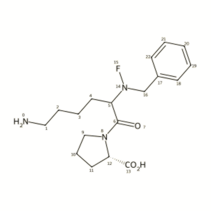 NCCCCC(C(=O)N1CCC[C@H]1C(=O)O)N(F)Cc1ccccc1